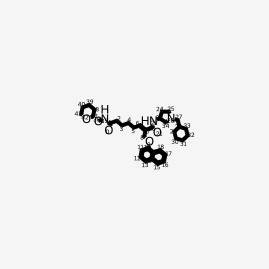 O=C(CCCC/C=C(\COc1cccc2ccccc12)C(=O)NC1CCN(CC2CCCCC2)C1)NOC1CCCCO1